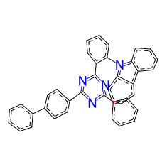 c1ccc(-c2ccc(-c3nc(-c4ccccc4)nc(-c4ccccc4-n4c5ccccc5c5ccccc54)n3)cc2)cc1